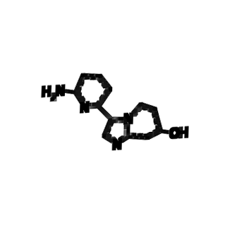 Nc1cccc(-c2cnc3cc(O)ccn23)n1